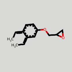 C/C=c1/ccc(OCC2CO2)c/c1=C/C